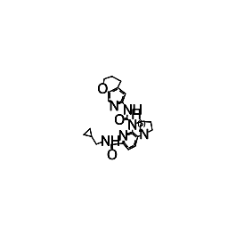 O=C(NCC1CC1)c1ccc2c(n1)N(C(=O)Nc1cc3c(cn1)OCCC3)[C@H]1CCN2C1